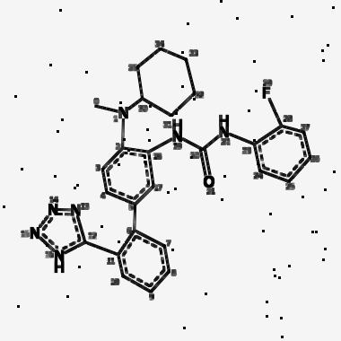 CN(c1ccc(-c2ccccc2-c2nnn[nH]2)cc1NC(=O)Nc1ccccc1F)C1CCCCC1